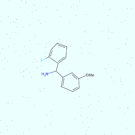 COc1cccc(C(N)c2ccccc2F)c1